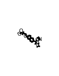 COC(=O)C(C)(C)COc1ccc2cc(C(C(C)N(C)C(C)C)n3ccnc3)ccc2c1